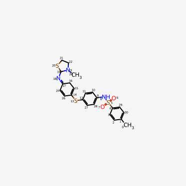 Cc1ccc(S(=O)(=O)Nc2ccc(SC3=CCC(=NC4SCCN4C)C=C3)cc2)cc1